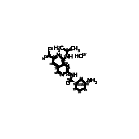 CC(C)Nc1nc(C(F)F)cc2cnc(NC(=O)[C@H]3CCC[C@@H](N)C3)nc12.Cl